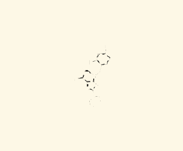 O=c1ncn(Cc2ccc(F)c(F)c2F)c2nc(N3CCOCC3)sc12